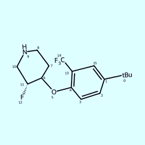 CC(C)(C)c1ccc(OC2CCNC[C@H]2F)c(C(F)(F)F)c1